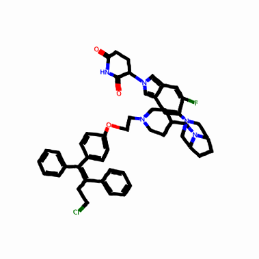 O=C1CCC(n2cc3cc(F)c(N4CC5CCC(C4)N5CC4CCN(CCOc5ccc(C(=C(CCCl)c6ccccc6)c6ccccc6)cc5)CC4)cc3c2)C(=O)N1